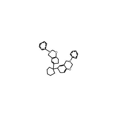 C1=C2CN(c3ccccc3)COC2=CCC1C1(C2=CC3=C(CC2)OCN(c2ccccc2)C3)CCCCC1